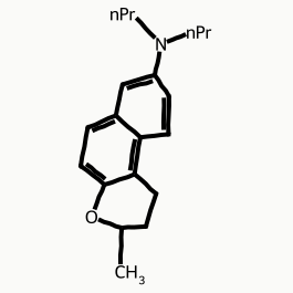 CCCN(CCC)c1ccc2c3c(ccc2c1)OC(C)CC3